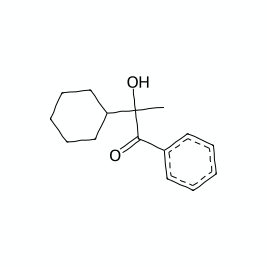 CC(O)(C(=O)c1ccccc1)C1CCCCC1